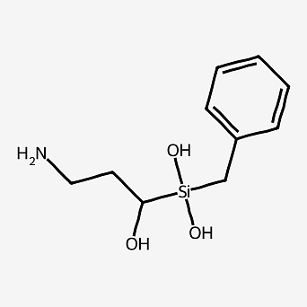 NCCC(O)[Si](O)(O)Cc1ccccc1